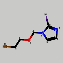 SCCOCn1ccnc1I